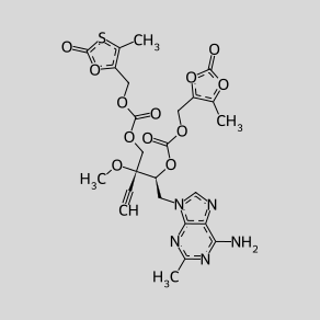 C#C[C@](COC(=O)OCc1oc(=O)sc1C)(OC)[C@H](Cn1cnc2c(N)nc(C)nc21)OC(=O)OCc1oc(=O)oc1C